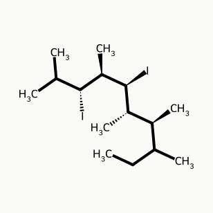 CCC(C)[C@H](C)[C@H](C)[C@H](I)[C@H](C)[C@H](I)C(C)C